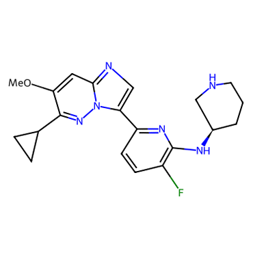 COc1cc2ncc(-c3ccc(F)c(N[C@@H]4CCCNC4)n3)n2nc1C1CC1